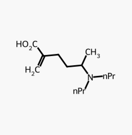 C=C(CCC(C)N(CCC)CCC)C(=O)O